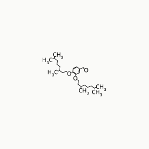 CC(C)CCCC(C)CCOc1ccc(C=O)cc1OCCC(C)CCCC(C)C